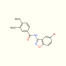 COc1ccc(C(=O)Nc2noc3ccc(Br)cc23)cc1OC